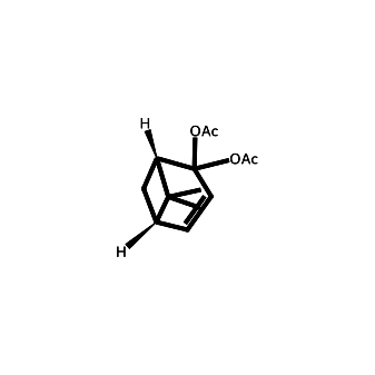 CC(=O)OC1(OC(C)=O)C=C[C@@H]2C[C@H]1C2(C)C